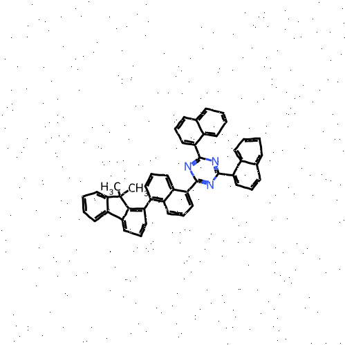 CC1(C)c2ccccc2-c2cccc(-c3cccc4c(-c5nc(-c6cccc7ccccc67)nc(-c6cccc7ccccc67)n5)cccc34)c21